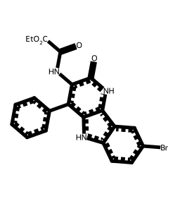 CCOC(=O)C(=O)Nc1c(-c2ccccc2)c2[nH]c3ccc(Br)cc3c2[nH]c1=O